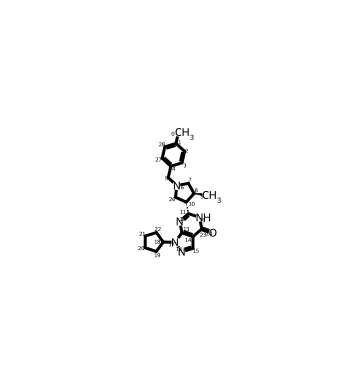 Cc1ccc(CN2C[C@@H](C)[C@H](c3nc4c(cnn4C4CCCC4)c(=O)[nH]3)C2)cc1